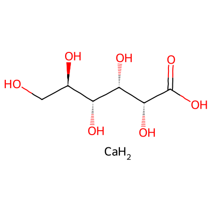 O=C(O)[C@H](O)[C@@H](O)[C@H](O)[C@H](O)CO.[CaH2]